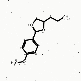 CCCC1COC(c2ccc(OC)cc2)O1